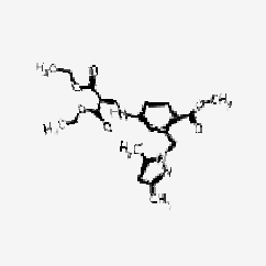 CCOC(=O)C(=CNc1ccc(C(=O)OC)c(Cn2nc(C)cc2C)c1)C(=O)OCC